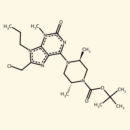 CCCn1c(CCl)nc2c(N3C[C@@H](C)N(C(=O)OC(C)(C)C)C[C@@H]3C)nc(=O)n(C)c21